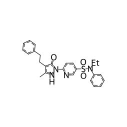 CCN(c1ccccc1)S(=O)(=O)c1ccc(-n2[nH]c(C)c(CCc3ccccc3)c2=O)nc1